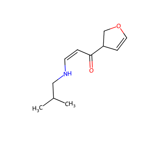 CC(C)CN/C=C\C(=O)C1C=COC1